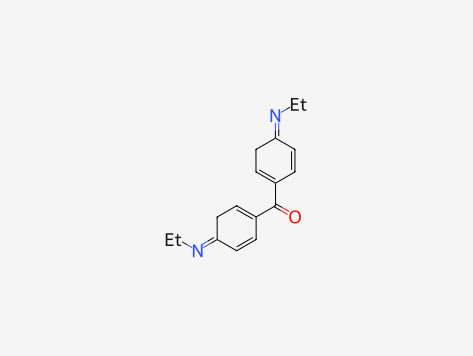 CCN=C1C=CC(C(=O)C2=CCC(=NCC)C=C2)=CC1